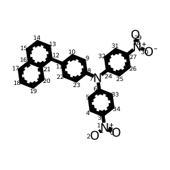 O=[N+]([O-])c1ccc(N(c2ccc(-c3cccc4ccccc34)cc2)c2ccc([N+](=O)[O-])cc2)cc1